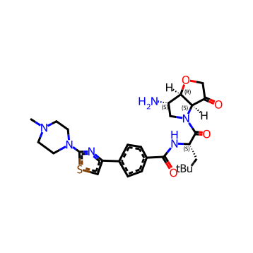 CN1CCN(c2nc(-c3ccc(C(=O)N[C@@H](CC(C)(C)C)C(=O)N4C[C@H](N)[C@H]5OCC(=O)[C@H]54)cc3)cs2)CC1